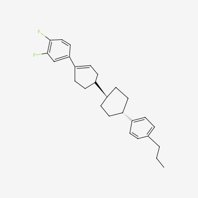 CCCc1ccc([C@H]2CC[C@H](C3CC=C(c4ccc(F)c(F)c4)CC3)CC2)cc1